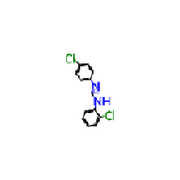 Clc1ccc(/N=C/Nc2ccccc2Cl)cc1